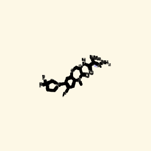 CN/C(=N\N)C(=O)N[C@H]1CSc2cc(N3CCC(F)(F)C3)c(F)cc2N(C)C1=O